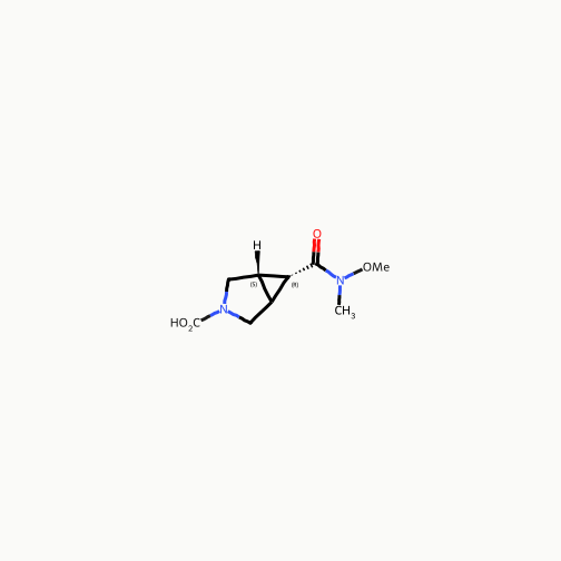 CON(C)C(=O)[C@@H]1C2CN(C(=O)O)C[C@@H]21